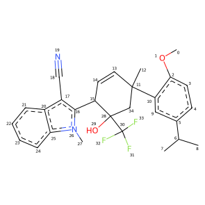 COc1ccc(C(C)C)cc1C1(C)C=CC(c2c(C#N)c3ccccc3n2C)C(O)(C(F)(F)F)C1